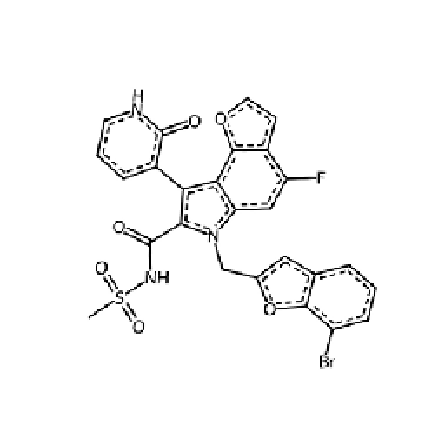 CS(=O)(=O)NC(=O)c1c(-c2ccc[nH]c2=O)c2c3occc3c(F)cc2n1Cc1cc2cccc(Br)c2o1